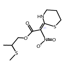 CSC(C)COC(=O)/C(=C1\NCCCS1)[N+](=O)[O-]